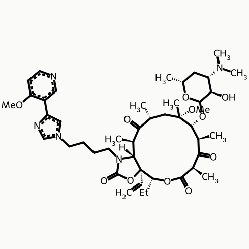 C=C[C@]12OC(=O)N(CCCCn3cnc(-c4cnccc4OC)c3)[C@@H]1[C@@H](C)C(=O)[C@H](C)C[C@](C)(OC)[C@H](OC1O[C@H](C)C[C@H](N(C)C)[C@H]1O)[C@@H](C)C(=O)[C@@H](C)C(=O)O[C@@H]2CC